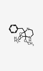 COC1(Cc2ccccc2)[N]CCNC1(OC)OC